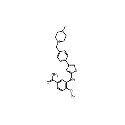 CC(C)Oc1ccc(C(N)=O)cc1Nc1nc(-c2ccc(CN3CCN(C)CC3)cc2)cs1